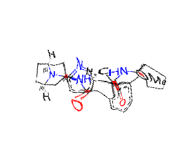 COc1cccc(C(=O)N[C@H]2C[C@H]3CC[C@@H](C2)N3c2ccc(C(=O)NC3CCCC3)cn2)c1C